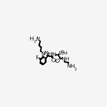 CC(C)(C)C(NC(=O)c1nn(CCCCN)c2c(F)cccc12)C(=O)NCCN